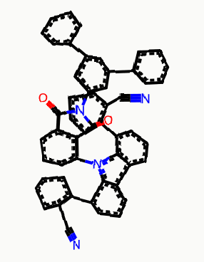 N#Cc1ccccc1-c1cccc2c3cccc(-c4ccccc4C#N)c3n(-c3cccc4c3C(=O)N(c3cc(-c5ccccc5)cc(-c5ccccc5)c3)C4=O)c12